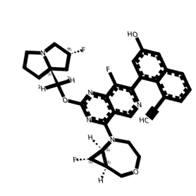 [2H]C([2H])(Oc1nc(N2CCOC[C@H]3[C@H](F)[C@H]32)c2cnc(-c3cc(O)cc4cccc(C#C)c34)c(F)c2n1)[C@@]12CCCN1C[C@H](F)C2